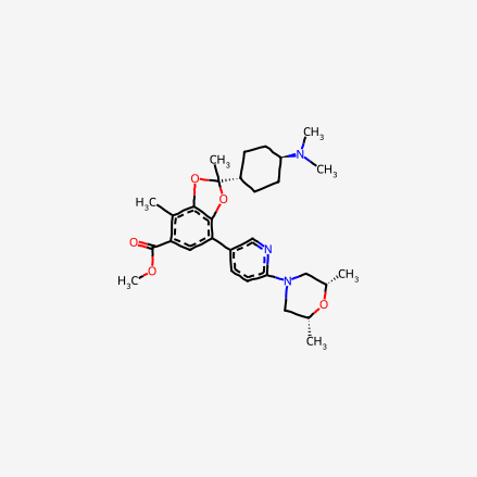 COC(=O)c1cc(-c2ccc(N3C[C@@H](C)O[C@@H](C)C3)nc2)c2c(c1C)OC(C)([C@H]1CC[C@H](N(C)C)CC1)O2